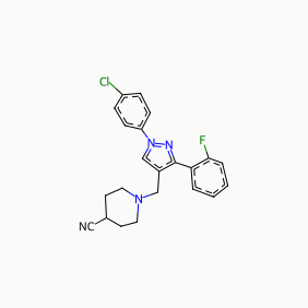 N#CC1CCN(Cc2cn(-c3ccc(Cl)cc3)nc2-c2ccccc2F)CC1